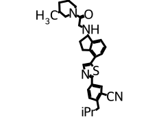 CC(C)Cc1ccc(-c2ncc(-c3cccc4c3CC[C@@H]4NCC(=O)N3CCCC(C)C3)s2)cc1C#N